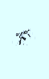 COCCNc1cc(NC(=O)N(CC2CCOC2)c2ccc(CO[Si](C)(C)C(C)(C)C)c(C3OCCO3)n2)ncc1C#N